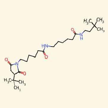 CC(C)(C)CCNC(=O)CCCCCNC(=O)CCCCCN1C(=O)CC(C(C)(C)C)C1=O